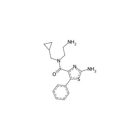 NCCN(CC1CC1)C(=O)c1nc(N)sc1-c1ccccc1